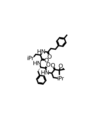 Cc1ccc(CCC(=O)NC(CC(C)C)C(=O)N[C@@H](Cc2ccccc2)C(=O)NC(CC(C)C)C(=O)C2(C)CO2)cc1